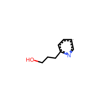 OCCCc1cc[c]cn1